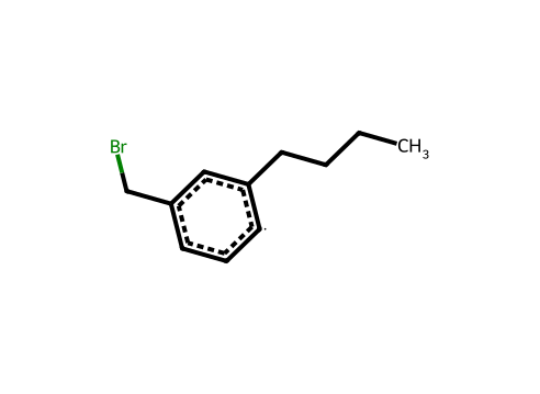 CCCCc1[c]ccc(CBr)c1